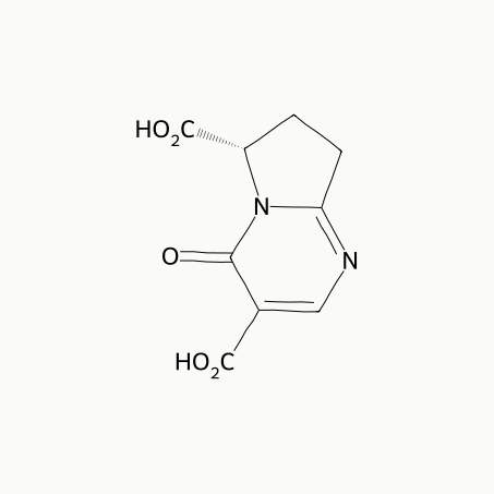 O=C(O)c1cnc2n(c1=O)[C@H](C(=O)O)CC2